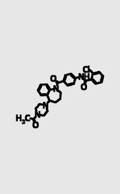 CC(=O)N1CCN(C2CCCN(C(=O)c3ccc(NC(=O)c4ccccc4Cl)cc3)c3ccccc32)CC1